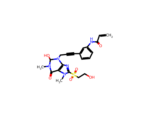 C=CC(=O)Nc1cccc(C#CCN2c3nc(S(=O)(=O)CCO)n(C)c3C(=O)N(C)C2O)c1